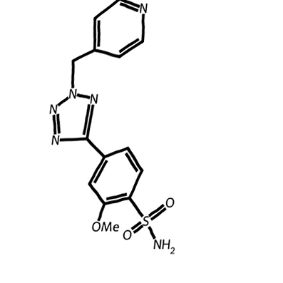 COc1cc(-c2nnn(Cc3ccncc3)n2)ccc1S(N)(=O)=O